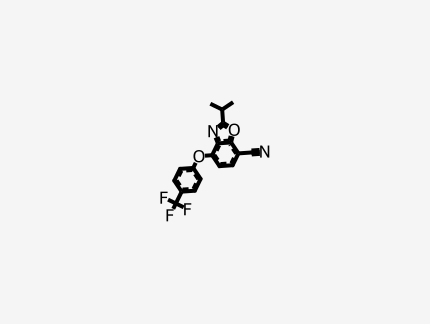 CC(C)c1nc2c(Oc3ccc(C(F)(F)F)cc3)ccc(C#N)c2o1